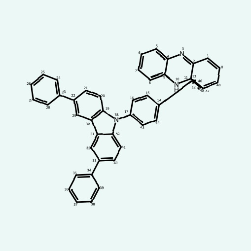 C1=CC2=Nc3ccccc3NC23C=C(c2ccc(-n4c5ccc(-c6ccccc6)cc5c5cc(-c6ccccc6)ccc54)cc2)C=CC3=C1